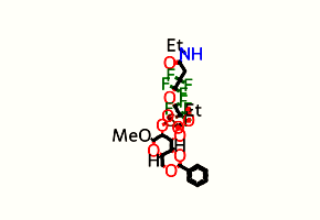 CCNC(=O)CC(F)(F)C(F)(F)OC(F)(F)C(F)(F)S(=O)(=O)O[C@@H]1[C@H](OC)O[C@@H]2COC(c3ccccc3)O[C@H]2[C@@H]1OCOCC